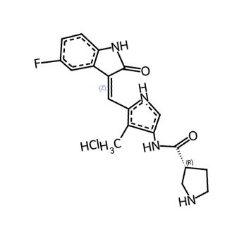 Cc1c(NC(=O)[C@@H]2CCNC2)c[nH]c1/C=C1\C(=O)Nc2ccc(F)cc21.Cl